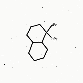 CCCC1(C(C)C)CCCC2CCCCC21